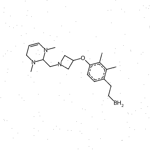 BCCc1ccc(OC2CN(CC3N(C)C=CCN3C)C2)c(C)c1C